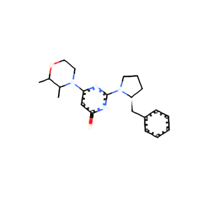 CC1OCCN(c2cc(=O)[nH]c(N3CCC[C@H]3Cc3ccccc3)n2)C1C